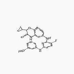 O=C1Nc2cc(Nc3nc(Nc4cccc(O)c4)ncc3F)ccc2OC1C1CC1